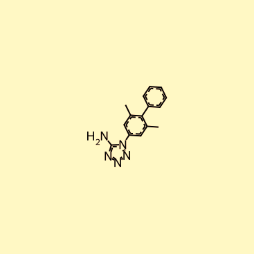 Cc1cc(-n2nnnc2N)cc(C)c1-c1ccccc1